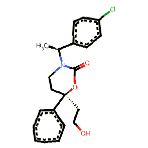 C[C@@H](c1ccc(Cl)cc1)N1CC[C@](CCO)(c2ccccc2)OC1=O